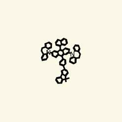 CC1(C)c2ccccc2-c2cc(-c3ccc(-c4c5cc(N6c7ccccc7CCc7ccccc76)ccc5c(-c5cccc6ccccc56)c5cc(N6c7ccccc7CCc7ccccc76)ccc45)cc3)ccc21